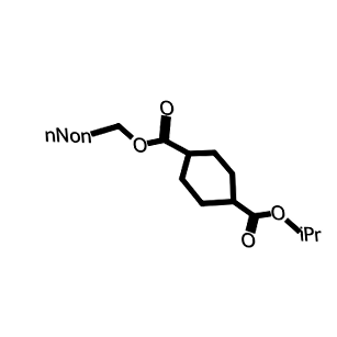 CCCCCCCCCCOC(=O)C1CCC(C(=O)OC(C)C)CC1